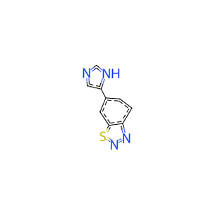 c1ncc(-c2ccc3nnsc3c2)[nH]1